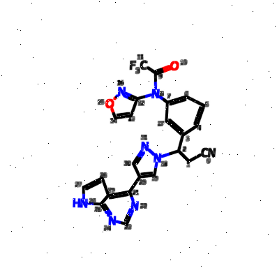 N#CCC(c1cccc(N(C(=O)C(F)(F)F)c2ccon2)c1)n1cc(-c2ncnc3[nH]ccc23)cn1